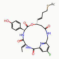 C/C=C1\NC(=O)c2cc(F)cc(n2)CNC(=O)C[C@@H](/C=C/CCSC(C)=O)OC(=O)[C@H](c2ccc(O)cc2)NC1=O